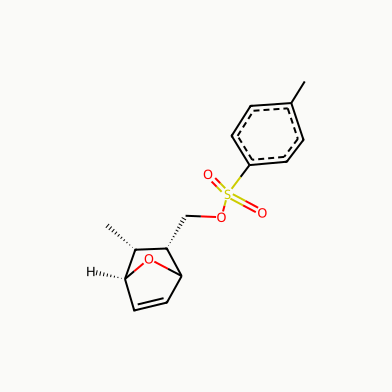 Cc1ccc(S(=O)(=O)OC[C@@H]2C3C=C[C@H](O3)[C@@H]2C)cc1